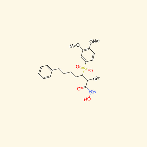 CCCC(C(=O)NO)C(CCCCc1ccccc1)S(=O)(=O)c1ccc(OC)c(OC)c1